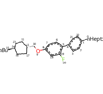 CCCCCCCc1ccc(-c2ccc(OC[C@H]3CC[C@H](CCCC)CC3)cc2F)cc1